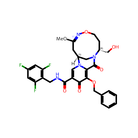 CO/C1=N/OCC[C@H](CO)N2C[C@H](C1)n1cc(C(=O)NCc3c(F)cc(F)cc3F)c(=O)c(OCc3ccccc3)c1C2=O